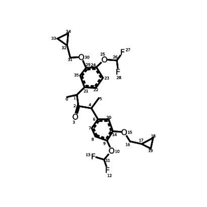 CC(C(=O)C(C)c1ccc(OC(F)F)c(OCC2CC2)c1)c1ccc(OC(F)F)c(OCC2CC2)c1